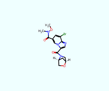 CON(C)C(=O)c1cc(Br)c2ncc(C(=O)N3C[C@@H]4C[C@H]3CO4)n2c1